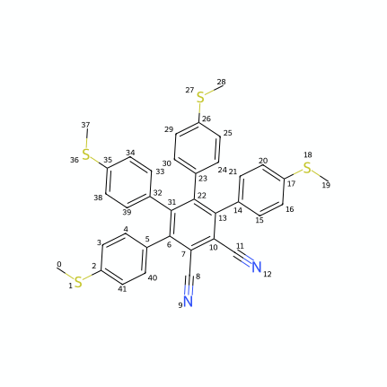 CSc1ccc(-c2c(C#N)c(C#N)c(-c3ccc(SC)cc3)c(-c3ccc(SC)cc3)c2-c2ccc(SC)cc2)cc1